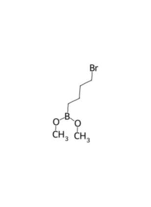 COB(CCCCBr)OC